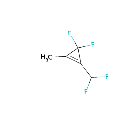 CC1=C(C(F)F)C1(F)F